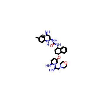 Cc1ccc(N/C(=C\C(=N)C(C)(C)C)NC(=O)N[C@H]2CC[C@@H](Oc3ccc(=N)n(C(=N)[C@@H](C)N4CCOCC4)c3)c3ccccc32)cc1